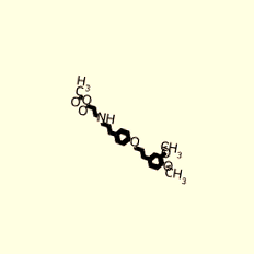 COc1ccc(CCCOc2ccc(CCCNCCC(=O)OC(C)=O)cc2)cc1OC